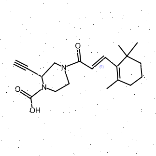 C#CC1CN(C(=O)/C=C/C2=C(C)CCCC2(C)C)CCN1C(=O)O